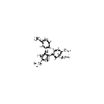 Nc1nc(-c2ccc3c(c2)NCCO3)c(-c2ccnc(Cl)c2)[nH]1